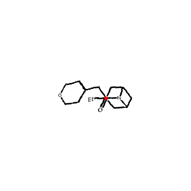 CCN1CC2CC(C1)N2C(=O)CC1CCOCC1